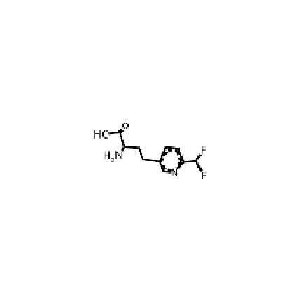 NC(CCc1ccc(C(F)F)nc1)C(=O)O